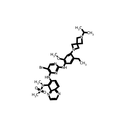 CCc1cc(Nc2ncc(Br)c(Nc3ccc4nccnc4c3N(C)S(C)(=O)=O)n2)c(OC)cc1N1CC2(C1)CN(C(C)C)C2